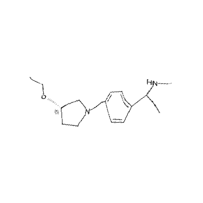 CCO[C@H]1CCN(c2ccc(C(C)NC)cc2)C1